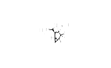 Cn1nc(N)c2c1C(F)(F)[C@@H]1C[C@H]21